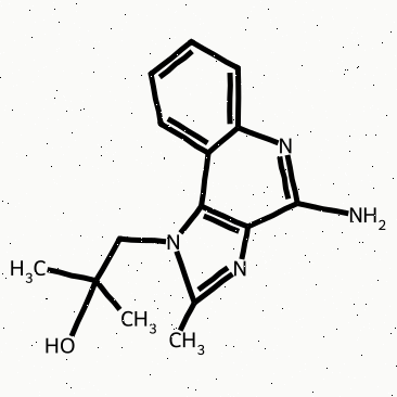 Cc1nc2c(N)nc3ccccc3c2n1CC(C)(C)O